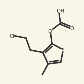 Cc1csc(OC(=O)O)c1CCCl